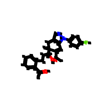 CCC1=Cc2c(cnn2-c2ccc(F)cc2)CC1(C)[C@@H](O)CCc1ccccc1C(C)=O